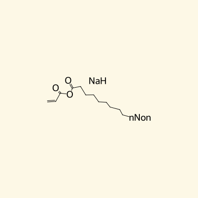 C=CC(=O)OC(=O)CCCCCCCCCCCCCCCCC.[NaH]